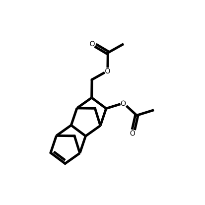 CC(=O)OCC1C2CC(C1OC(C)=O)C1C3C=CC(C3)C21